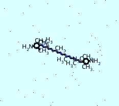 CC1=CC(N)CC(C)(C)C1/C=C/C(C)=C/C=C/C(C)=C/C=C/C=C(C)/C=C/C=C(C)/C=C/C1=C(C)CC(N)CC1(C)C